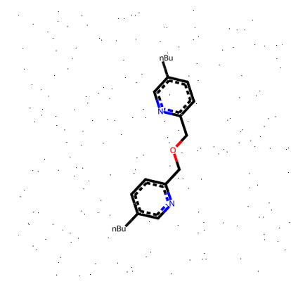 CCCCc1ccc(COCc2ccc(CCCC)cn2)nc1